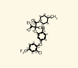 CCC(=O)C(C#N)(Oc1cc(Oc2ccc(C(F)(F)F)cc2Cl)ccc1Cl)C(=O)N1CCC(C)CC1